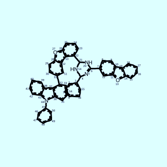 c1ccc(C2N=C(c3ccc4c(c3)oc3ccccc34)NC(c3cccc4oc5ccc(-c6cccc7c6c6ccccc6n7-c6ccccc6)cc5c34)N2)cc1